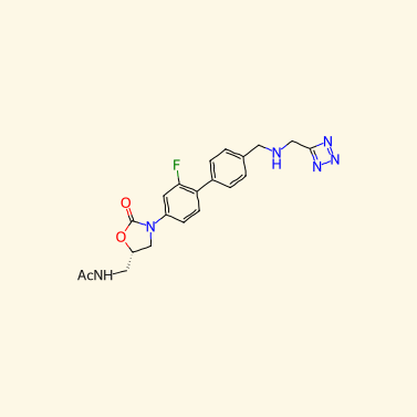 CC(=O)NC[C@H]1CN(c2ccc(-c3ccc(CNCC4=NN=N4)cc3)c(F)c2)C(=O)O1